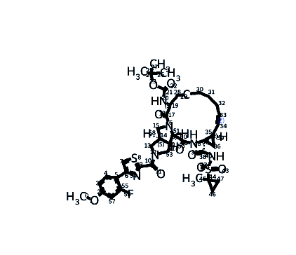 COc1ccc(-c2csc(C(=O)N3C[C@H]4CN5C(=O)[C@@H](NC(=O)OC(C)(C)C)CCCCC/C=C\[C@H]6C[C@@]6(C(=O)NS(=O)(=O)C6(C)CC6)NC(=O)[C@@H]5[C@H]4C3)n2)c(F)c1